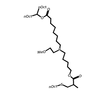 CCCCCCCCSCC(C)C(=O)OCCCCCN(CCCCCCCC(=O)OC(CCCCCCCC)CCCCCCCC)CCOC